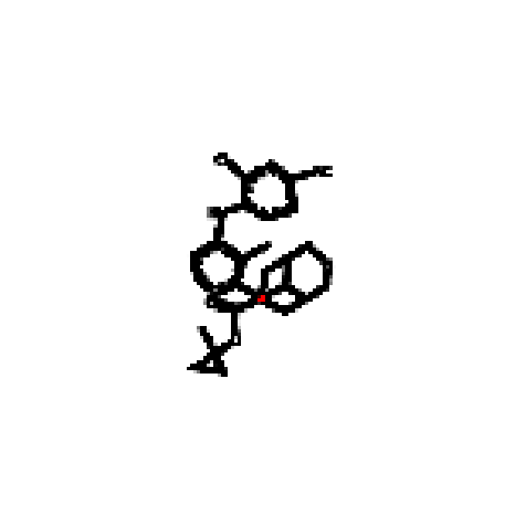 [C-]#[N+]c1ccc(Nc2ccnc(OC3C4COCC3CN(C(=O)OC3(C)CC3)C4)c2C)c(Cl)c1